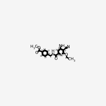 CCOc1nc(C(=O)NCc2ccc(C(=O)OC)cc2)cc(N)c1C#N